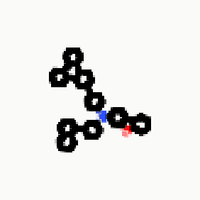 c1cc(-c2cccc3ccccc23)cc(N(c2ccc(-c3ccc4c5ccccc5c5ccccc5c4c3)cc2)c2ccc3c(c2)oc2ccccc23)c1